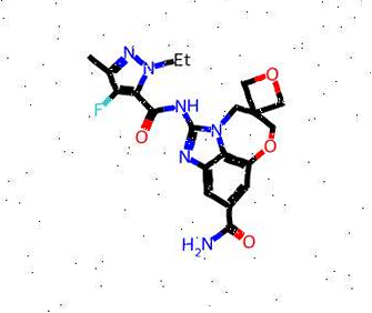 CCn1nc(C)c(F)c1C(=O)Nc1nc2cc(C(N)=O)cc3c2n1CC1(COC1)CO3